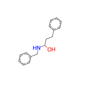 OC(CCc1ccccc1)NCc1ccccc1